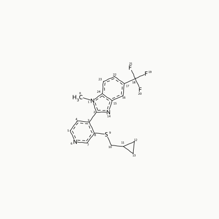 Cn1c(-c2ccncc2SCC2CC2)nc2cc(C(F)(F)F)ccc21